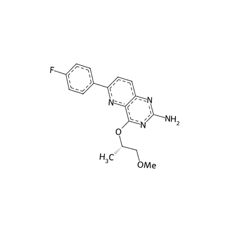 COC[C@H](C)Oc1nc(N)nc2ccc(-c3ccc(F)cc3)nc12